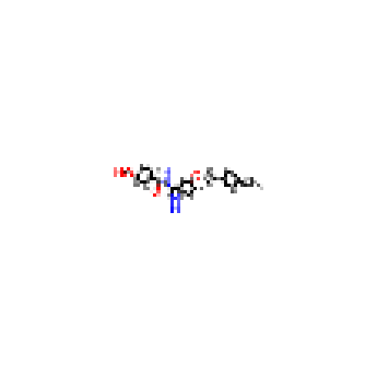 C[C@]1(C(=O)Nc2c[nH]c3ccc(O[C@H]4C[C@H](c5ccc(C(F)(F)F)cc5)C4)cc23)CC[C@H](O)CC1